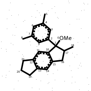 COC1(c2cc(C)cc(C)c2)c2cc3c(cc2CC1C)CCC3